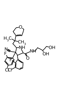 CC(C)(CC1NC(C(=O)NCC[C@H](O)CO)C(c2cccc(Cl)c2F)C1(C#N)c1ccc(Cl)cc1F)C1=CCOCC1